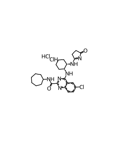 Cl.Cl.O=C1CCC(N[C@@H]2CCCC[C@@H]2Nc2nc(C(=O)NC3CCCCCC3)nc3ccc(Cl)cc23)=N1